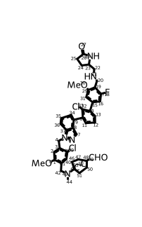 COc1cc(Cn2ncc3c(-c4cccc(-c5cc(F)c(CNCC6CCC(=O)N6)c(OC)c5)c4Cl)cccc32)c(Cl)cc1CN(C)C12CCC(C=O)(CC1)CC2